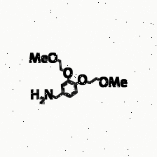 COCCOc1ccc(CN)cc1OCCOC